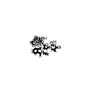 Cc1cn([C@H]2CC(OC(=O)c3ccccc3C(C)N=[N+]=[N-])[C@@H](COP(=O)(O)OP(=O)(O)OP(=O)(O)O)O2)c(=O)[nH]c1=O